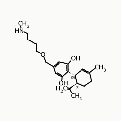 C=C(C)[C@@H]1CCC(C)=C[C@H]1c1c(O)cc(COCCCCNC)cc1O